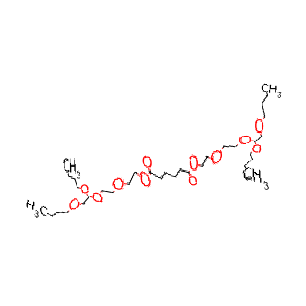 CCCCOCC(OCCCC)OCCOCCOC(=O)CCCCC(=O)OCCOCCOC(COCCCC)OCCCC